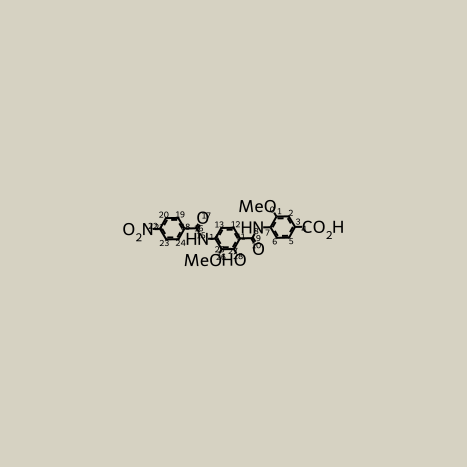 COc1cc(C(=O)O)ccc1NC(=O)c1ccc(NC(=O)c2ccc([N+](=O)[O-])cc2)c(OC)c1O